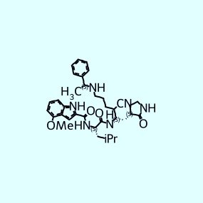 COc1cccc2[nH]c(C(=O)N[C@@H](CC(C)C)C(=O)N[C@@H](C[C@@H]3CCNC3=O)C(C#N)CCCN[C@@H](C)c3ccccc3)cc12